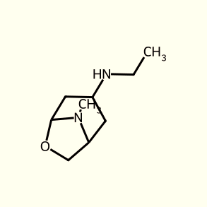 CCNC1CC2COC(C1)N2C